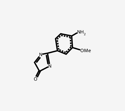 COc1cc(C2=NC(=O)C=N2)ccc1N